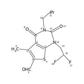 Cc1c(C=O)sc2c1c(=O)n(CC(C)C)c(=O)n2CC(F)F